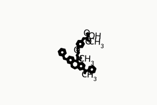 COC(Cc1ccc(OCCN(C)C2c3ccc(Cc4ccccc4)cc3CCc3cc(C(C)c4ccccc4)ccc32)cc1)C(=O)O